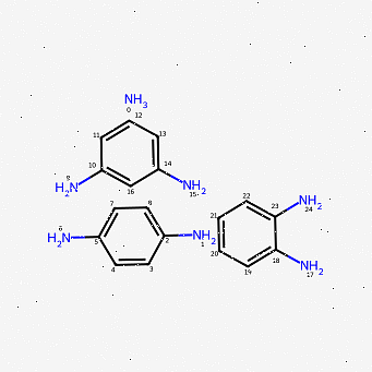 N.Nc1ccc(N)cc1.Nc1cccc(N)c1.Nc1ccccc1N